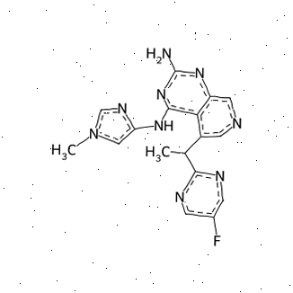 CC(c1ncc(F)cn1)c1cncc2nc(N)nc(Nc3cn(C)cn3)c12